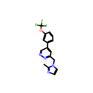 Cc1nccn1Cc1cc(-c2cccc(OC(F)(F)F)c2)cnn1